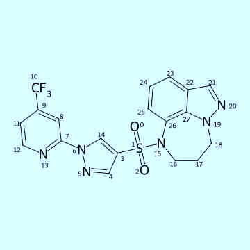 O=S(=O)(c1cnn(-c2cc(C(F)(F)F)ccn2)c1)N1CCCn2ncc3cccc1c32